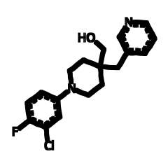 OCC1(Cc2cccnc2)CCN(c2ccc(F)c(Cl)c2)CC1